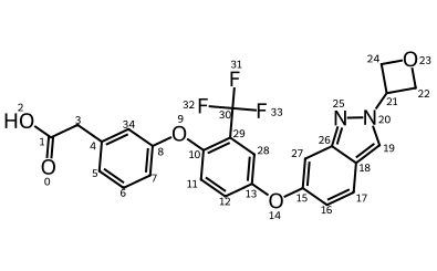 O=C(O)Cc1cccc(Oc2ccc(Oc3ccc4cn(C5COC5)nc4c3)cc2C(F)(F)F)c1